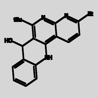 CCc1ccc2c3c(c(C(C)(C)C)nc2n1)C(O)c1ccccc1N3